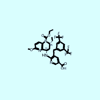 CCOC(=O)N1c2ccc(OC)nc2[C@@H](Nc2ncc(C(=O)O)cc2Cc2cc(C(F)(F)F)cc(C(F)(F)F)c2)C[C@H]1CC